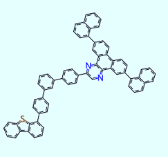 c1cc(-c2ccc(-c3cnc4c5cc(-c6cccc7ccccc67)ccc5c5ccc(-c6cccc7ccccc67)cc5c4n3)cc2)cc(-c2ccc(-c3cccc4c3sc3ccccc34)cc2)c1